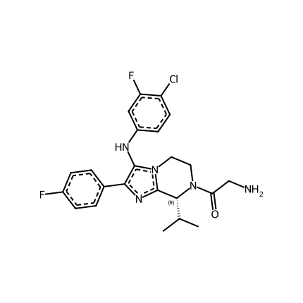 CC(C)[C@@H]1c2nc(-c3ccc(F)cc3)c(Nc3ccc(Cl)c(F)c3)n2CCN1C(=O)CN